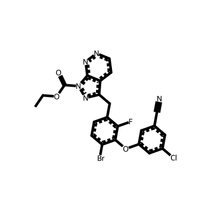 CCOC(=O)n1nc(Cc2ccc(Br)c(Oc3cc(Cl)cc(C#N)c3)c2F)c2ccnnc21